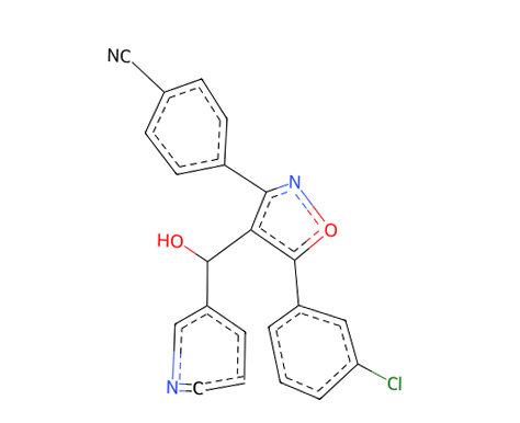 N#Cc1ccc(-c2noc(-c3cccc(Cl)c3)c2C(O)c2cccnc2)cc1